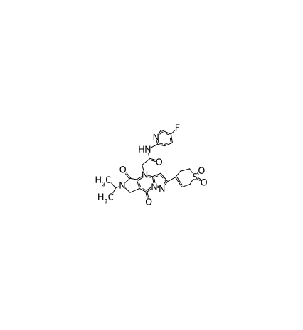 CC(C)N1Cc2c(n(CC(=O)Nc3ccc(F)cn3)c3cc(C4=CCS(=O)(=O)CC4)nn3c2=O)C1=O